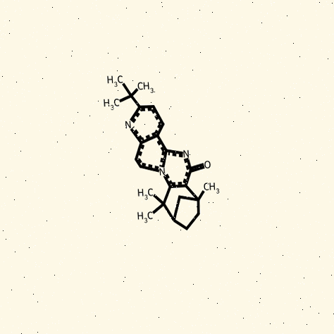 CC(C)(C)c1ccc2c(ccn3c4c(c(=O)nc23)C2(C)CCC(C2)C4(C)C)n1